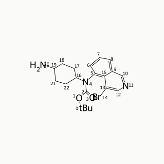 CC(C)(C)OC(=O)N(c1cccc2cncc(Br)c12)C1CCC(N)CC1